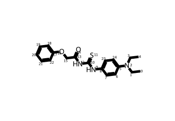 CCN(CC)c1ccc(NC(=S)NC(=O)COc2ccccc2)cc1